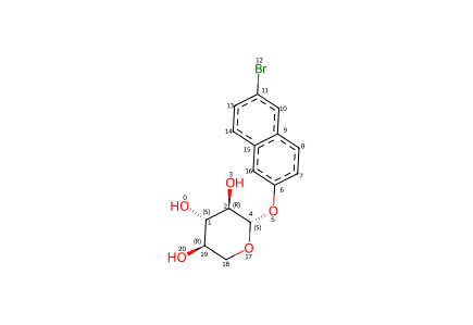 O[C@@H]1[C@@H](O)[C@H](Oc2ccc3cc(Br)ccc3c2)OC[C@H]1O